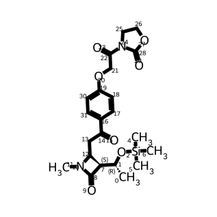 C[C@@H](O[Si](C)(C)C)[C@H]1C(=O)N(C)C1CC(=O)c1ccc(OCC(=O)N2CCOC2=O)cc1